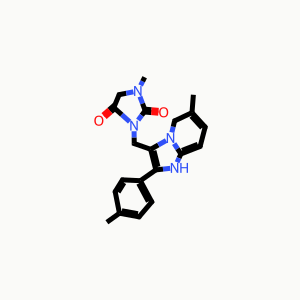 CC1=CC=C2NC(c3ccc(C)cc3)=C(CN3C(=O)CN(C)C3=O)N2C1